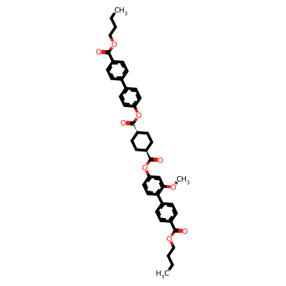 CCCCOC(=O)c1ccc(-c2ccc(OC(=O)[C@H]3CC[C@H](C(=O)Oc4ccc(-c5ccc(C(=O)OCCCC)cc5)c(OC)c4)CC3)cc2)cc1